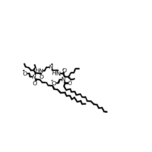 CCCCCCCCCCCCCCCCCC(=O)N(CCOC)C(C(=O)NCCN(C)CCNC(=O)C(C(CC)CCCC)N(CCOC)C(=O)CCCCCCCCCCCCCCCCC)C(CC)CCCC